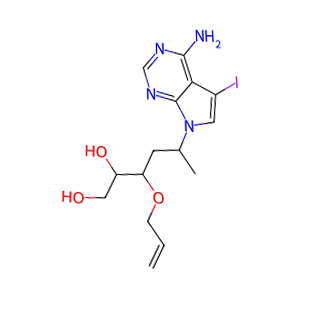 C=CCOC(CC(C)n1cc(I)c2c(N)ncnc21)C(O)CO